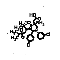 CC(C)[C@@H](CS(=O)(=O)C(C)C)N1C(=O)[C@@](N)(CC(=O)O)C[C@H](c2cccc(Cl)c2)C1c1ccc(Cl)cc1